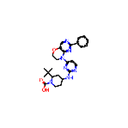 CC(C)(C)C1CC(Nc2nccc(N3CCOc4cnc(-c5ccccc5)nc43)n2)CCN1C(=O)O